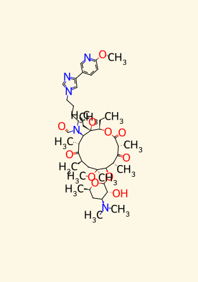 CC[C@H]1OC(=O)[C@H](C)C(=O)[C@H](C)[C@@H](OC2O[C@H](C)C[C@H](N(C)C)[C@H]2O)[C@@](C)(OC)C[C@@H](C)C(=O)[C@H](C)[C@@H](N(C=O)CCCCn2cnc(-c3ccc(OC)nc3)c2)[C@]1(CC)OC